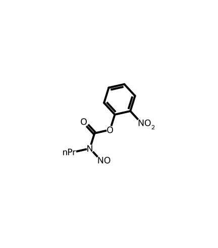 CCCN(N=O)C(=O)Oc1ccccc1[N+](=O)[O-]